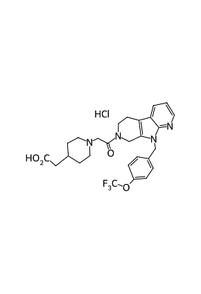 Cl.O=C(O)CC1CCN(CC(=O)N2CCc3c(n(Cc4ccc(OC(F)(F)F)cc4)c4ncccc34)C2)CC1